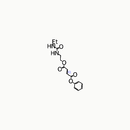 CCNC(=O)NCCOC(=O)/C=C/C(=O)Oc1ccccc1